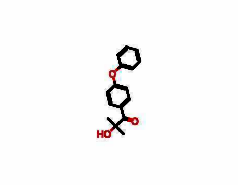 CC(C)(O)C(=O)c1ccc(Oc2ccccc2)cc1